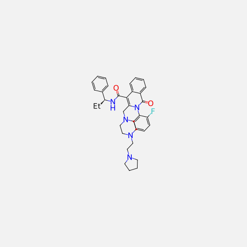 CC[C@H](NC(=O)c1c(CN2CCN(CCN3CCCC3)CC2)n(-c2ccccc2F)c(=O)c2ccccc12)c1ccccc1